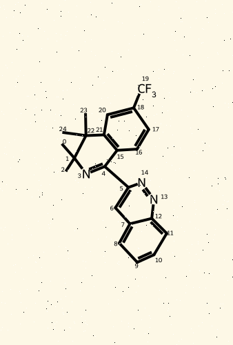 CC1(C)N=C(c2cc3ccccc3nn2)c2ccc(C(F)(F)F)cc2C1(C)C